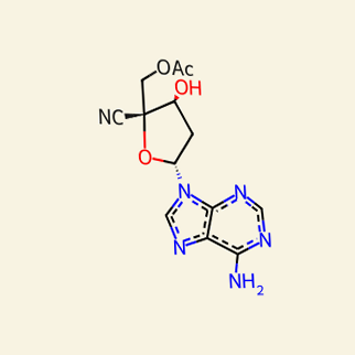 CC(=O)OC[C@@]1(C#N)O[C@@H](n2cnc3c(N)ncnc32)C[C@@H]1O